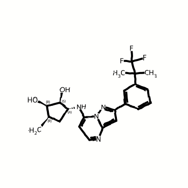 [CH2][C@@H]1C[C@@H](Nc2ccnc3cc(-c4cccc(C(C)(C)C(F)(F)F)c4)nn23)[C@H](O)[C@@H]1O